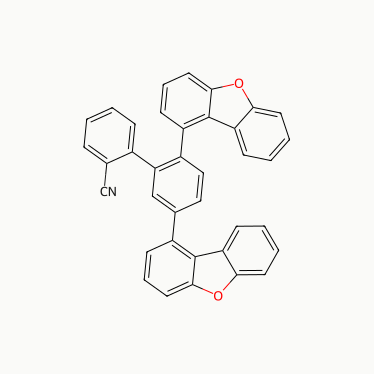 N#Cc1ccccc1-c1cc(-c2cccc3oc4ccccc4c23)ccc1-c1cccc2oc3ccccc3c12